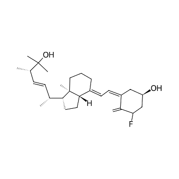 C=C1/C(=C\C=C2/CCC[C@]3(C)[C@@H]([C@H](C)/C=C/[C@H](C)C(C)(C)O)CC[C@@H]23)C[C@@H](O)CC1F